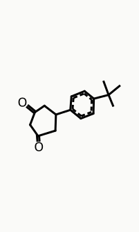 CC(C)(C)c1ccc(C2CC(=O)CC(=O)C2)cc1